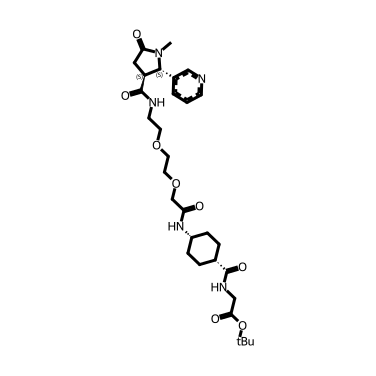 CN1C(=O)C[C@H](C(=O)NCCOCCOCC(=O)N[C@H]2CC[C@@H](C(=O)NCC(=O)OC(C)(C)C)CC2)[C@H]1c1cccnc1